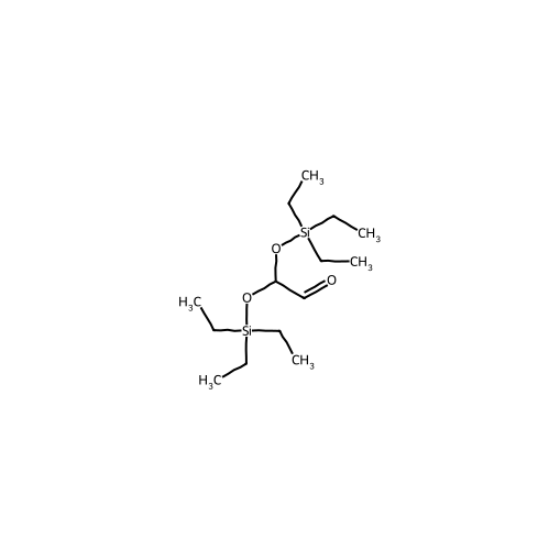 CC[Si](CC)(CC)OC(C=O)O[Si](CC)(CC)CC